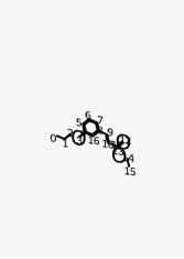 CCCOc1cccc(/C=C/C(=O)OCC)c1